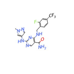 Cn1cc(Nc2ncc(C(N)=O)c(NCc3ccc(C(F)(F)F)cc3F)n2)cn1